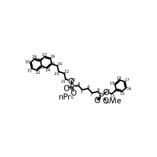 CCCOP(=O)(CCCCCP(=O)(OC)OCc1ccccc1)OCCCCc1ccc2ccccc2c1